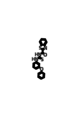 O=C(NC(=S)Nc1cccc(Oc2ccccc2)c1)c1nc2ccccc2s1